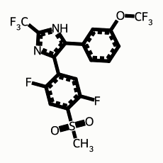 CS(=O)(=O)c1cc(F)c(-c2nc(C(F)(F)F)[nH]c2-c2cccc(OC(F)(F)F)c2)cc1F